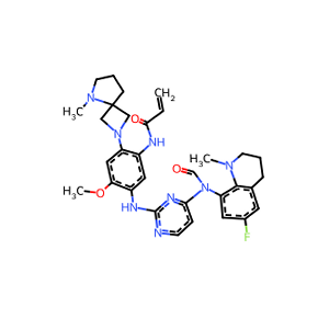 C=CC(=O)Nc1cc(Nc2nccc(N(C=O)c3cc(F)cc4c3N(C)CCC4)n2)c(OC)cc1N1CC2(CCCN2C)C1